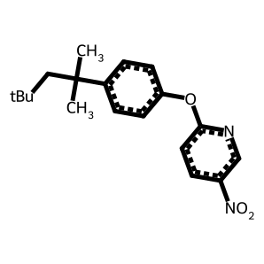 CC(C)(C)CC(C)(C)c1ccc(Oc2ccc([N+](=O)[O-])cn2)cc1